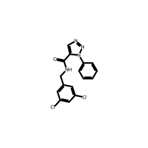 O=C(NCc1cc(Cl)cc(Cl)c1)c1cnnn1-c1ccccc1